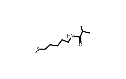 CSCCCCCNC(=O)C(C)C